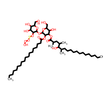 CCCCCCCCCCCCCCCCCC(=O)OC1C(OC2OC(CO)C(O)C(O)C2OSOOO)OC(CO)C(O)C1OC(=O)C(C)CC(C)C(O)C(C)CCCCCCCCCCCCC